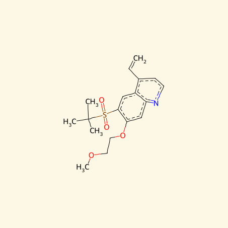 C=Cc1ccnc2cc(OCCOC)c(S(=O)(=O)C(C)(C)C)cc12